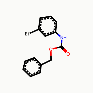 [CH2]Cc1cccc(NC(=O)OCc2ccccc2)c1